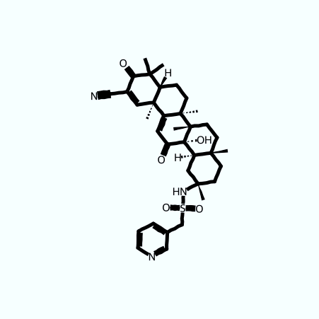 CC1(C)C(=O)C(C#N)=C[C@]2(C)C3=CC(=O)[C@]4(O)[C@@H]5C[C@@](C)(NS(=O)(=O)Cc6cccnc6)CC[C@@]5(C)CC[C@@]4(C)[C@]3(C)CC[C@@H]12